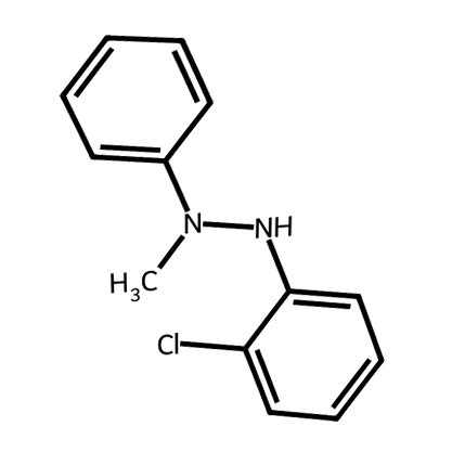 CN(Nc1ccccc1Cl)c1ccccc1